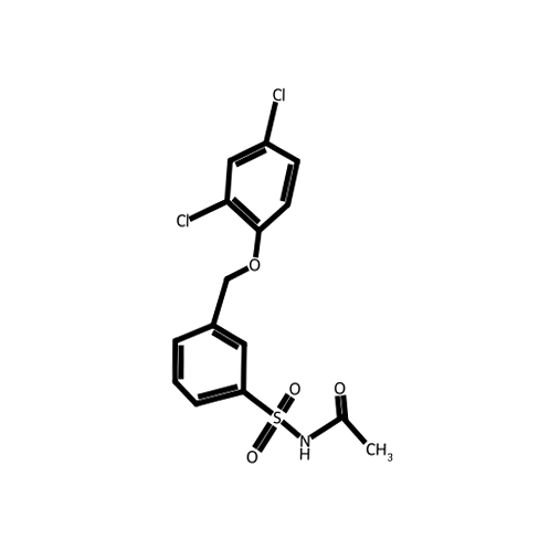 CC(=O)NS(=O)(=O)c1cccc(COc2ccc(Cl)cc2Cl)c1